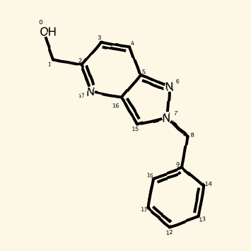 OCc1ccc2nn(Cc3ccccc3)cc2n1